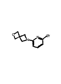 CC(C)c1cccc(N2CC3(COC3)C2)n1